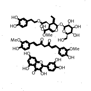 C/C=C1/[C@H](O[C@@H]2O[C@H](CO)[C@@H](O)[C@H](O)[C@H]2O)OC=C(C(=O)OC)[C@H]1CC(O)OCCc1ccc(O)c(O)c1.COc1cc(/C=C/C(=O)CC(=O)/C=C/c2ccc(O)c(OC)c2)ccc1O.O=c1c(O)c(-c2ccc(O)c(O)c2)oc2cc(O)cc(O)c12